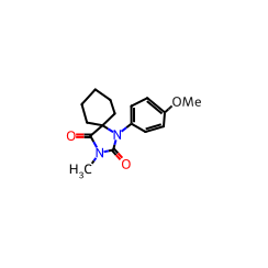 COc1ccc(N2C(=O)N(C)C(=O)C23CCCCC3)cc1